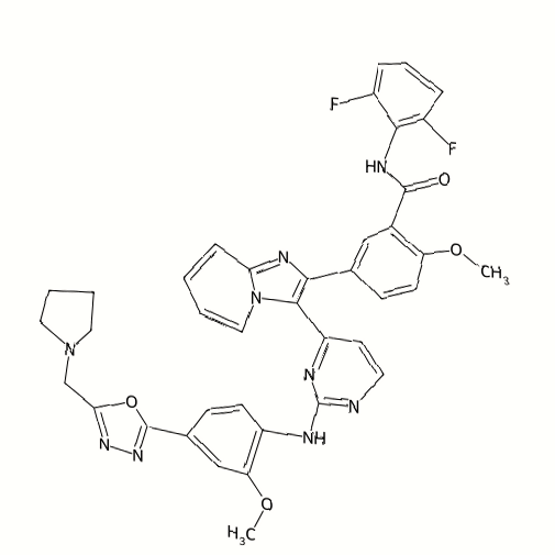 COc1cc(-c2nnc(CN3CCCC3)o2)ccc1Nc1nccc(-c2c(-c3ccc(OC)c(C(=O)Nc4c(F)cccc4F)c3)nc3ccccn23)n1